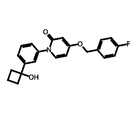 O=c1cc(OCc2ccc(F)cc2)ccn1-c1cccc(C2(O)CCC2)c1